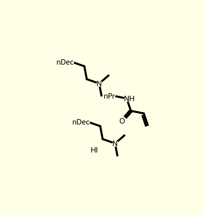 C=CC(=O)NCCC.CCCCCCCCCCCCN(C)C.CCCCCCCCCCCCN(C)C.I